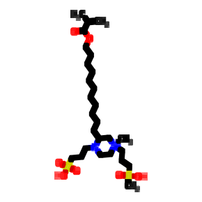 C=C(C)C(=O)OCCCCCCCCCCCC1C[N+](C)(CCCS(=C)(=O)O)CCN1CCCS(=O)(=O)O